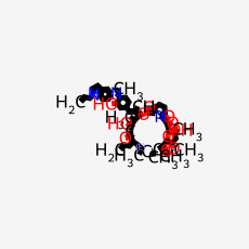 C=CCC1/C=C(\C)CC(C)CC(OC)C2OC(O)(C(=O)C(=O)N3CCCCC3C(=O)OC(C(C)=CC3CCC(N(C)c4ccc5c(ccn5CC=C)c4)C(O)C3)C(C)C(O)CC1=O)C(C)CC2OC